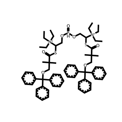 CC[N+](CC)(CC)C(CO[PH](=O)OCC(SC(=O)C(C)(C)COC(c1ccccc1)(c1ccccc1)c1ccccc1)[N+](CC)(CC)CC)SC(=O)C(C)(C)COC(c1ccccc1)(c1ccccc1)c1ccccc1